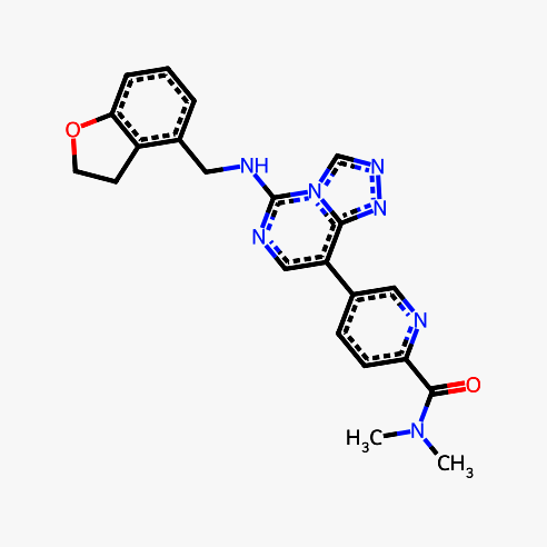 CN(C)C(=O)c1ccc(-c2cnc(NCc3cccc4c3CCO4)n3cnnc23)cn1